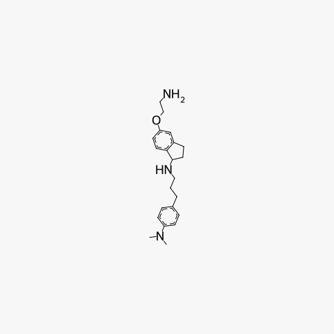 CN(C)c1ccc(CCCNC2CCc3cc(OCCN)ccc32)cc1